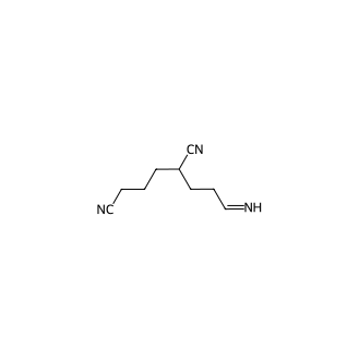 N#CCCCC(C#N)CCC=N